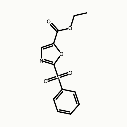 CCOC(=O)c1cnc(S(=O)(=O)c2ccccc2)o1